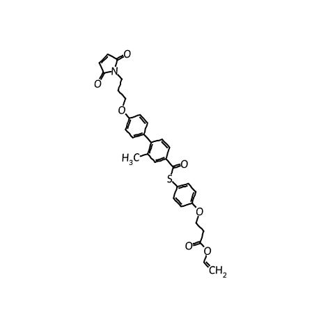 C=COC(=O)CCOc1ccc(SC(=O)c2ccc(-c3ccc(OCCCN4C(=O)C=CC4=O)cc3)c(C)c2)cc1